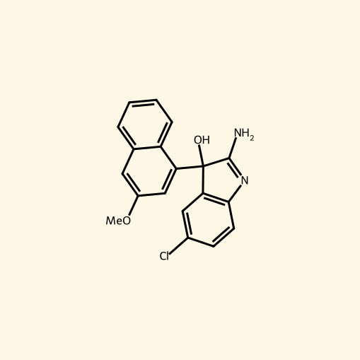 COc1cc(C2(O)C(N)=Nc3ccc(Cl)cc32)c2ccccc2c1